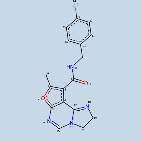 Cc1oc2c(c1C(=O)NCc1ccc(Cl)cc1)C1=NCCN1C=N2